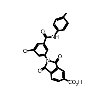 Cc1ccc(NC(=O)c2cc(Cl)cc(N3C(=O)c4ccc(C(=O)O)cc4C3=O)c2)cc1